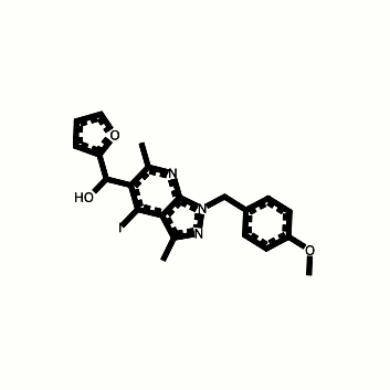 COc1ccc(Cn2nc(C)c3c(I)c(C(O)c4ccco4)c(C)nc32)cc1